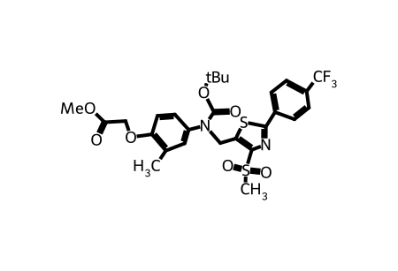 COC(=O)COc1ccc(N(Cc2sc(-c3ccc(C(F)(F)F)cc3)nc2S(C)(=O)=O)C(=O)OC(C)(C)C)cc1C